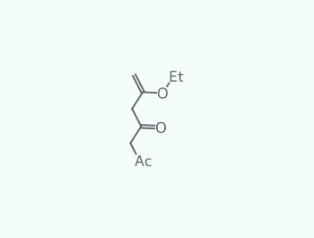 C=C(CC(=O)CC(C)=O)OCC